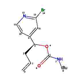 C=CC[C@H](OC(=O)NC(C)(C)C)c1ccnc(Br)c1